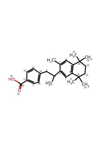 Cc1cc2c(cc1C(C)Cc1ccc(C(=O)O)cc1)C(C)(C)CCC2(C)C